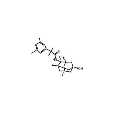 Cc1cc(C)cc(C(C)(C)C(=O)N[C@H]2[C@H]3C[C@@H]4C[C@H]2C[C@](O)(C3)C4)c1